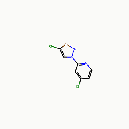 ClC1=CN(c2cc(Cl)ccn2)NS1